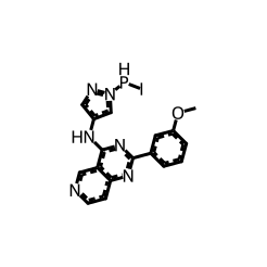 COc1cccc(-c2nc(Nc3cnn(PI)c3)c3cnccc3n2)c1